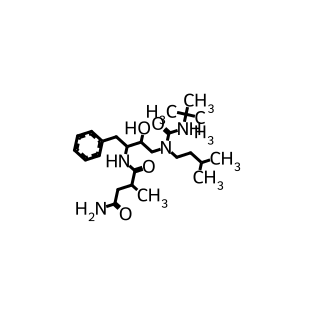 CC(C)CCN(CC(O)C(Cc1ccccc1)NC(=O)C(C)CC(N)=O)C(=O)NC(C)(C)C